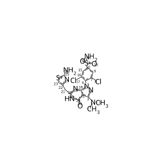 CN(C)c1nn(-c2c(Cl)cc(S(N)(=O)=O)cc2Cl)c2nc(Cc3csc(N)n3)[nH]c(=O)c12